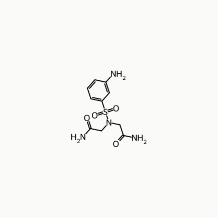 NC(=O)CN(CC(N)=O)S(=O)(=O)c1cccc(N)c1